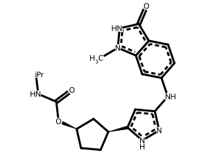 CC(C)NC(=O)O[C@@H]1CC[C@H](c2cc(Nc3ccc4c(=O)[nH]n(C)c4c3)n[nH]2)C1